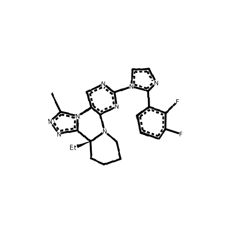 CC[C@]12CCCCN1c1nc(-n3ccnc3-c3cccc(F)c3F)ncc1-n1c(C)nnc12